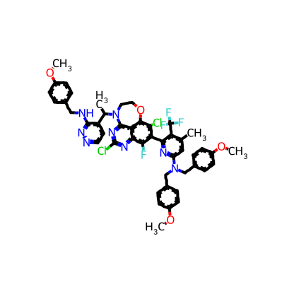 COc1ccc(CNc2nnccc2C(C)N2CCOc3c(Cl)c(-c4nc(N(Cc5ccc(OC)cc5)Cc5ccc(OC)cc5)cc(C)c4C(F)(F)F)c(F)c4nc(Cl)nc2c34)cc1